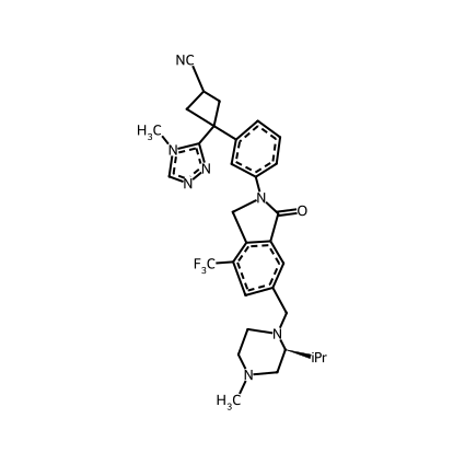 CC(C)[C@H]1CN(C)CCN1Cc1cc2c(c(C(F)(F)F)c1)CN(c1cccc(C3(c4nncn4C)CC(C#N)C3)c1)C2=O